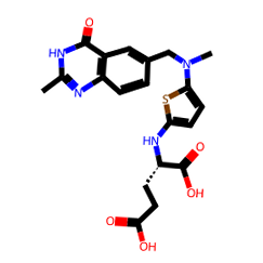 Cc1nc2ccc(CN(C)c3ccc(N[C@@H](CCC(=O)O)C(=O)O)s3)cc2c(=O)[nH]1